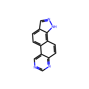 c1ncc2c(ccc3c2ccc2cn[nH]c23)n1